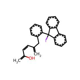 C=C(O)/C=C\C(=C)Cc1ccccc1C1(I)c2ccccc2-c2ccccc21